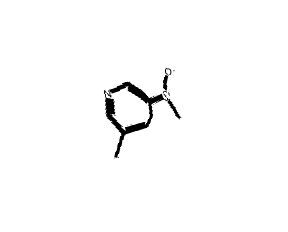 [CH2]c1cncc([S+](C)[O-])c1